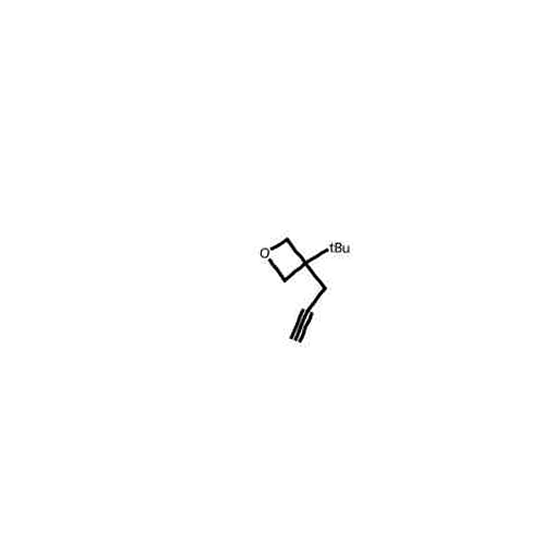 C#CCC1(C(C)(C)C)COC1